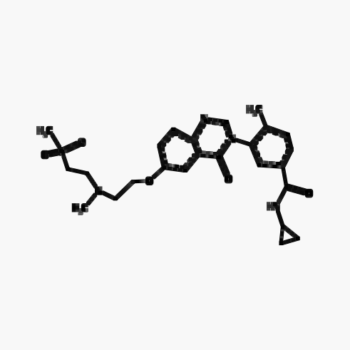 Cc1ccc(C(=O)NC2CC2)cc1-n1cnc2ccc(OCCN(C)CCS(C)(=O)=O)cc2c1=O